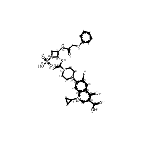 O=C(COc1ccccc1)N[C@@H]1CN(S(=O)(=O)O)[C@H]1SC(=S)N1CCN(c2cc3c(cc2F)c(=O)c(C(=O)O)cn3C2CC2)CC1